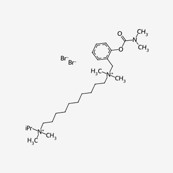 CC(C)[N+](C)(C)CCCCCCCCCC[N+](C)(C)Cc1ccccc1OC(=O)N(C)C.[Br-].[Br-]